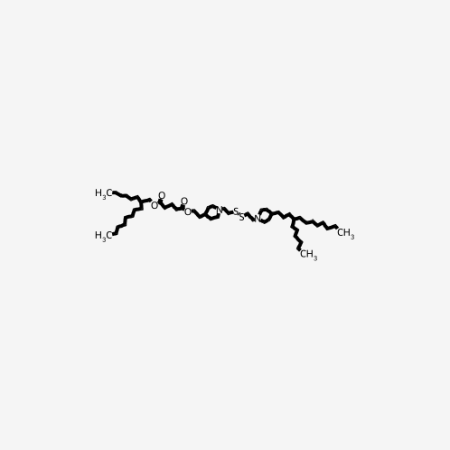 CCCCC[CH]CCC(CCCCCC)CCCC1CCN(CCSSCCN2CCC(CCOC(=O)CCCC(=O)OCC(CCCCCC)CCCCCCCC)CC2)CC1